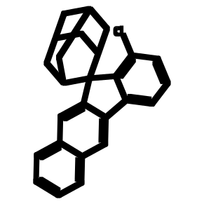 Clc1cccc2c1C1(c3cc4ccccc4cc3-2)C2CC3CC(C2)CC1C3